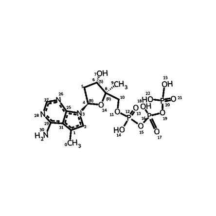 Cc1cn([C@H]2C[C@H](O)[C@@](C)(COP(=O)(O)OP(=O)(O)OP(=O)(O)O)O2)c2ncnc(N)c12